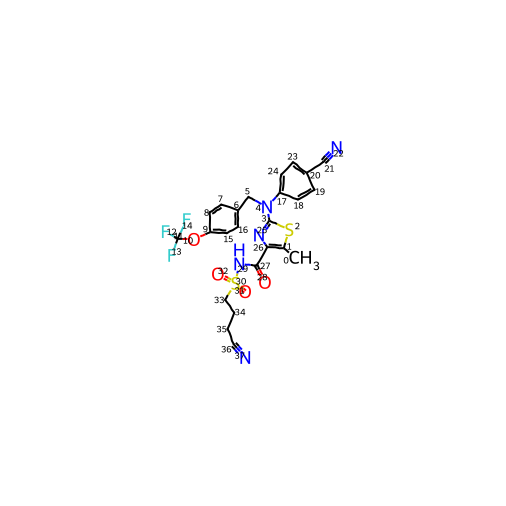 Cc1sc(N(Cc2ccc(OC(F)(F)F)cc2)c2ccc(C#N)cc2)nc1C(=O)NS(=O)(=O)CCCC#N